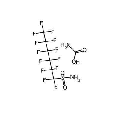 NC(=O)O.NS(=O)(=O)C(F)(F)C(F)(F)C(F)(F)C(F)(F)C(F)(F)C(F)(F)F